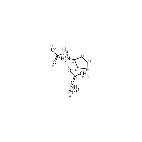 CC(=O)[O-].CC(=O)[O-].N.NC1CCCC1.[Pt+2]